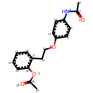 CC(=O)Nc1ccc(OCCc2ccccc2OC(C)=O)cc1